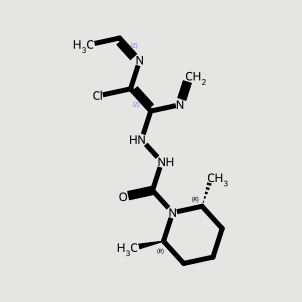 C=N/C(NNC(=O)N1[C@H](C)CCC[C@H]1C)=C(Cl)\N=C/C